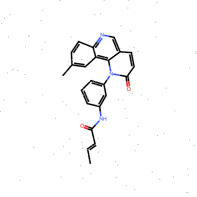 C/C=C/C(=O)Nc1cccc(-n2c(=O)ccc3cnc4ccc(C)cc4c32)c1